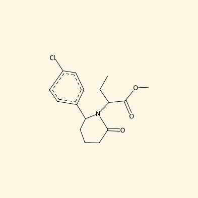 CCC(C(=O)OC)N1C(=O)CCCC1c1ccc(Cl)cc1